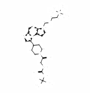 CC(C)(C)OC(=O)NCC(=O)N1CCC(c2cnc3cnc4c(ccn4COCC[Si](C)(C)C)n23)CC1